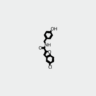 O=C(NCc1ccc(O)cc1)c1cc2cc(Cl)ccc2o1